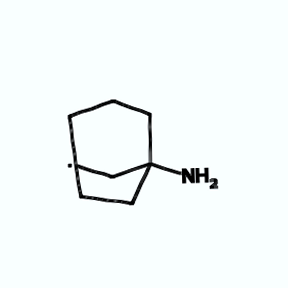 NC12CCC[C](CC1)C2